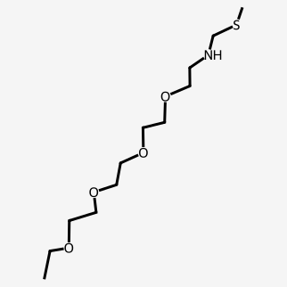 CCOCCOCCOCCOCCNCSC